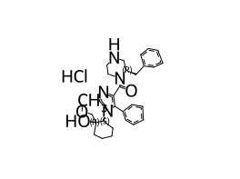 COC[C@@]1(O)CCCC[C@@H]1n1cnc(C(=O)N2CCNC[C@H]2Cc2ccccc2)c1-c1ccccc1.Cl